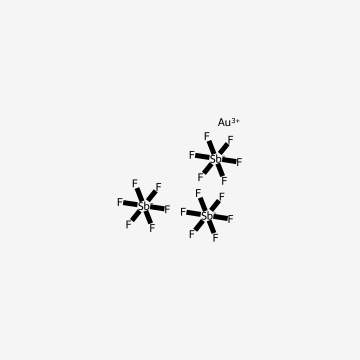 [Au+3].[F][Sb-]([F])([F])([F])([F])[F].[F][Sb-]([F])([F])([F])([F])[F].[F][Sb-]([F])([F])([F])([F])[F]